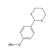 CCCCOc1ccc(C2SCCCS2)cc1